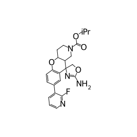 CC(C)OC(=O)N1CCC2Oc3ccc(-c4cccnc4F)cc3C3(COC(N)=N3)C2C1